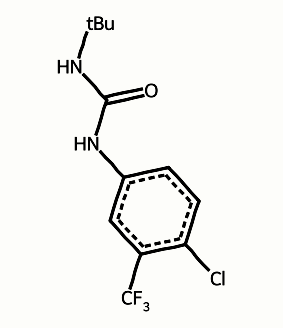 CC(C)(C)NC(=O)Nc1ccc(Cl)c(C(F)(F)F)c1